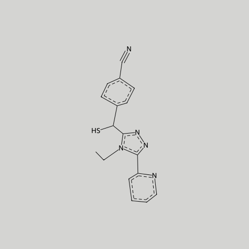 CCn1c(-c2ccccn2)nnc1C(S)c1ccc(C#N)cc1